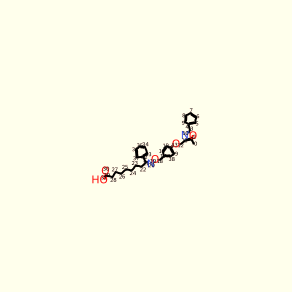 Cc1oc(-c2ccccc2)nc1COc1ccc(CON=C(CCCCCCCC(=O)O)c2ccccc2)cc1